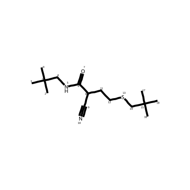 CC(C)(C)CNC(=O)C(C#N)CCSCC(C)(C)C